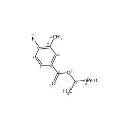 CCCCCC(C)OC(=O)c1ccc(F)c(C)c1